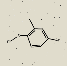 Cc1cc(F)ccc1SCl